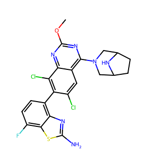 COc1nc(N2CC3CCC(C2)N3)c2cc(Cl)c(-c3ccc(F)c4sc(N)nc34)c(Cl)c2n1